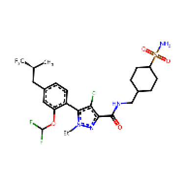 CCn1nc(C(=O)NCC2CCC(S(N)(=O)=O)CC2)c(Cl)c1-c1ccc(C[C@H](C)C(F)(F)F)cc1OC(F)F